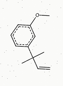 C=CC(C)(C)c1cccc(OC)c1